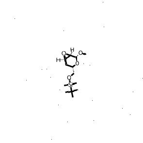 CO[C@@H]1O[C@H](CO[Si](C)(C)C(C)(C)C)C[C@H]2O[C@@H]12